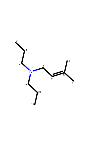 CCCN(CC=C(C)C)CCC